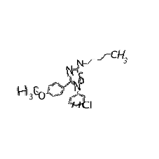 CCCCCN=c1nc(-c2ccc(OC)cc2)n(-c2ccccc2)s1.Cl